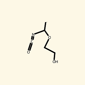 [CH2]C(N=C=O)OCCO